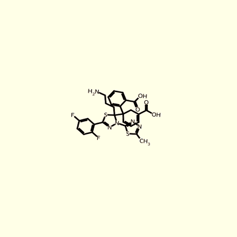 Cc1nnc(N2N=C(c3cc(F)ccc3F)SC2(CCCN)C2(c3ccccc3C(=O)O)C=CC=C(C(=O)O)C2)s1